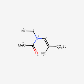 CCOC(=O)/C(C#N)=C/N(CC#N)C(=O)OC